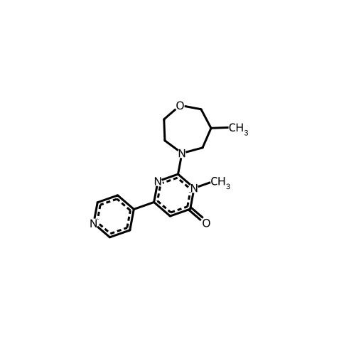 CC1COCCN(c2nc(-c3ccncc3)cc(=O)n2C)C1